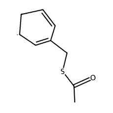 CC(=O)SCC1=C[CH]CC=C1